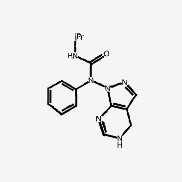 CC(C)NC(=O)N(c1ccccc1)n1ncc2c1N=CNC2